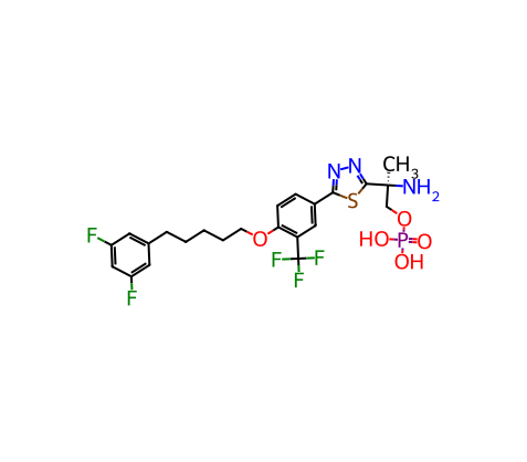 C[C@](N)(COP(=O)(O)O)c1nnc(-c2ccc(OCCCCCc3cc(F)cc(F)c3)c(C(F)(F)F)c2)s1